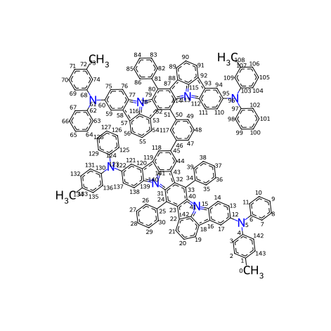 Cc1ccc(N(c2ccccc2)c2ccc3c(c2)c2cccc4c5c(-c6ccccc6)c6c(c(-c7ccccc7)c5n3c24)c2cc(-c3cccc(-c4c5c7cccc8c9cc(N(c%10ccccc%10)c%10cccc(C)c%10)ccc9n(c5c(-c5ccccc5)c5c9cccc%10c%11cc(N(c%12ccccc%12)c%12cccc(C)c%12)ccc%11n(c45)c%109)c87)c3)cc3c4cc(N(c5ccccc5)c5ccc(C)cc5)ccc4n6c32)cc1